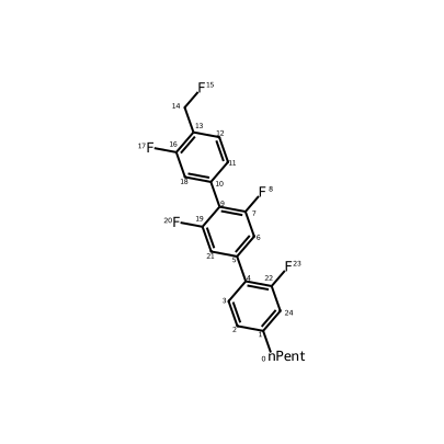 CCCCCc1ccc(-c2cc(F)c(-c3ccc(CF)c(F)c3)c(F)c2)c(F)c1